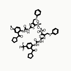 COc1ccc(NC(=O)Nc2nc(CSc3ccccc3)c(S(C)(=O)=O)s2)c(C(=O)C2CCCC2)c1.CS(=O)(=O)c1sc(NC(=O)Nc2ccc(C(F)(F)F)cc2C(=O)C2CCCC2)nc1CSc1ccccc1